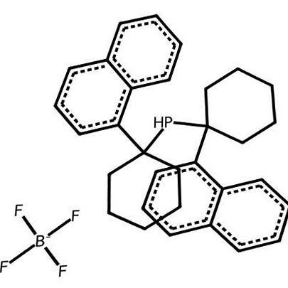 F[B-](F)(F)F.c1ccc2c(C3(PC4(c5cccc6ccccc56)CCCCC4)CCCCC3)cccc2c1